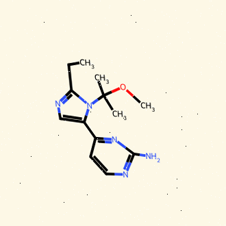 CCc1ncc(-c2ccnc(N)n2)n1C(C)(C)OC